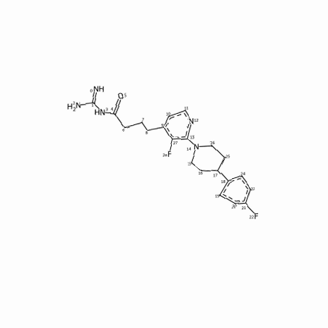 N=C(N)NC(=O)CCCc1ccnc(N2CCC(c3ccc(F)cc3)CC2)c1F